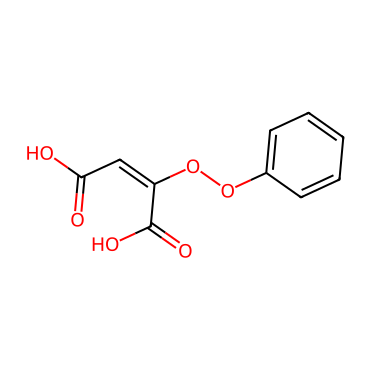 O=C(O)C=C(OOc1ccccc1)C(=O)O